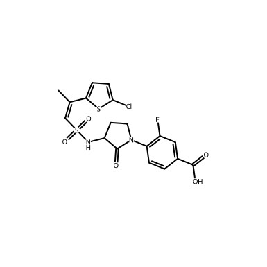 CC(=CS(=O)(=O)NC1CCN(c2ccc(C(=O)O)cc2F)C1=O)c1ccc(Cl)s1